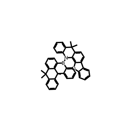 CC1(C)c2ccccc2C2(C)c3ccccc3B(N3c4ccccc4C(C)(C)c4ccc5c(oc6ccccc65)c43)c3cccc1c32